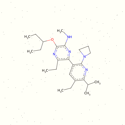 CCc1cc(-c2nc(NC)c(OC(CC)CC)nc2CC)c(N2CCC2)nc1C(C)C